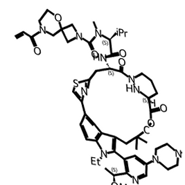 C=CC(=O)N1CCOC2(C1)CN(C(=O)N(C)[C@H](C(=O)N[C@H]1Cc3nc(cs3)-c3ccc4c(c3)c(c(-c3cc(N5CCN(C)CC5)cnc3[C@H](C)OC)n4CC)CC(C)(C)COC(=O)[C@@H]3CCCN(N3)C1=O)C(C)C)C2